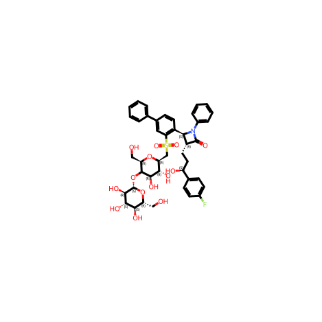 O=C1[C@H](CC[C@H](O)c2ccc(F)cc2)[C@@H](c2ccc(-c3ccccc3)cc2S(=O)(=O)C[C@@H]2O[C@H](CO)C(O[C@@H]3O[C@H](CO)[C@@H](O)[C@H](O)[C@H]3O)[C@H](O)[C@H]2O)N1c1ccccc1